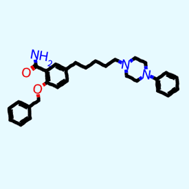 NC(=O)c1cc(CCCCCN2CCN(c3ccccc3)CC2)ccc1OCc1ccccc1